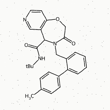 Cc1ccc(-c2ccccc2CN2C(=O)COc3ccncc3C2C(=O)NC(C)(C)C)cc1